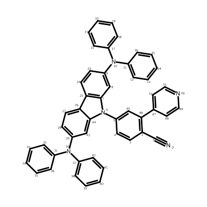 N#Cc1ccc(-n2c3cc(N(c4ccccc4)c4ccccc4)ccc3c3ccc(N(c4ccccc4)c4ccccc4)cc32)cc1-c1ccncc1